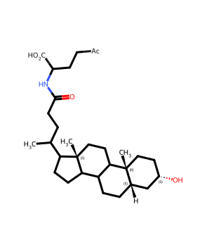 CC(=O)CCC(NC(=O)CCC(C)C1CCC2C3CC[C@H]4C[C@@H](O)CC[C@@]4(C)C3CC[C@@]12C)C(=O)O